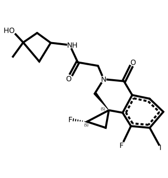 CC1(O)CC(NC(=O)CN2C[C@]3(C[C@@H]3F)c3c(ccc(I)c3F)C2=O)C1